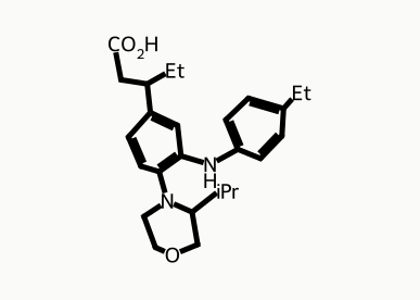 CCc1ccc(Nc2cc(C(CC)CC(=O)O)ccc2N2CCOCC2C(C)C)cc1